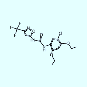 CCOc1cc(OCC)c(NC(=O)Nc2cc(C(F)(F)F)no2)cc1Cl